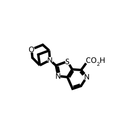 O=C(O)c1nccc2nc(N3C4COCC3C4)sc12